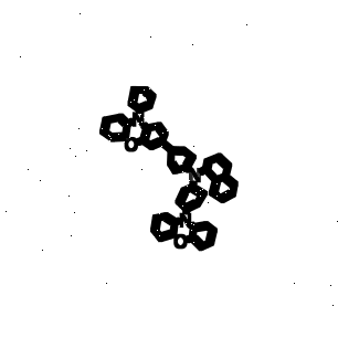 c1ccc(N2c3ccccc3Oc3cc(-c4ccc(N(c5ccc(N6c7ccccc7Oc7ccccc76)cc5)c5cccc6ccccc56)cc4)ccc32)cc1